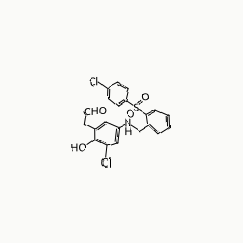 O=CCc1cc(NCc2ccccc2S(=O)(=O)c2ccc(Cl)cc2)cc(Cl)c1O